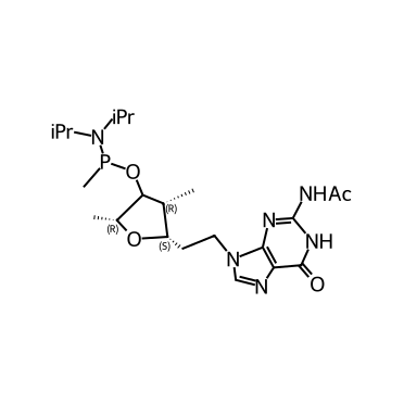 CC(=O)Nc1nc2c(ncn2CC[C@@H]2O[C@H](C)C(OP(C)N(C(C)C)C(C)C)[C@@H]2C)c(=O)[nH]1